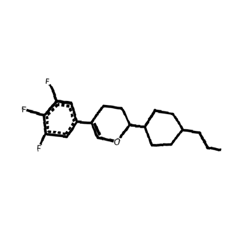 CCCC1CCC(C2CCC(c3cc(F)c(F)c(F)c3)=CO2)CC1